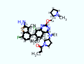 C=CC(=O)N1CCC(N(CC)c2nc(OC[C@@H]3CCCN3C)nc3c(F)c(-c4ccc(F)c5sc(N)c(C#N)c45)c(C(F)(F)F)cc23)[C@H]1COC